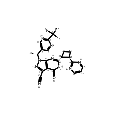 C[C@H](c1cnc(C(F)(F)F)nc1)n1nc(C#N)c2c(=O)[nH]c([C@@H]3CC[C@H]3c3ncccn3)nc21